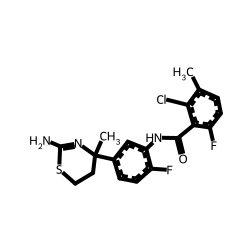 Cc1ccc(F)c(C(=O)Nc2cc(C3(C)CCSC(N)=N3)ccc2F)c1Cl